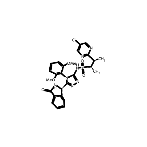 COc1cccc(OC)c1-n1c(NS(=O)(=O)[C@@H](C)[C@H](C)c2ncc(Cl)cn2)nnc1[C@@H]1NC(=O)c2ccccc21